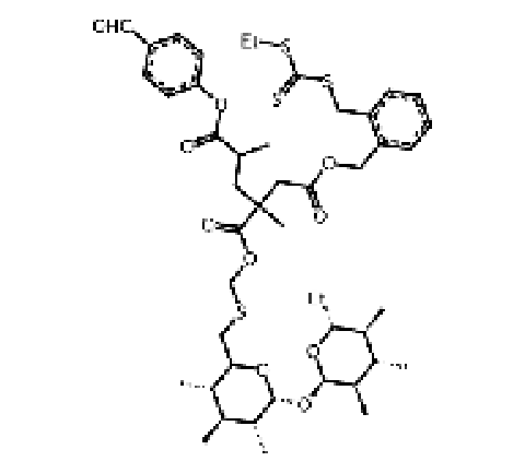 CCSC(=S)SCc1ccccc1COC(=O)CC(C)(CC(C)C(=O)Oc1ccc(C=O)cc1)C(=O)OCSCC1O[C@H](O[C@H]2O[C@H](CC)[C@@H](C)[C@H](C)[C@H]2C)[C@H](C)[C@@H](C)[C@@H]1C